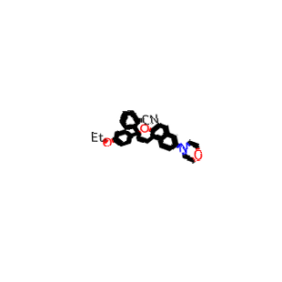 CCOc1ccc(C2(c3ccccc3C#N)C=Cc3c(ccc4cc(N5CCOCC5)ccc34)O2)cc1